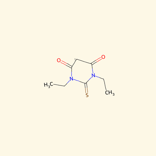 CCN1C(=O)[C]C(=O)N(CC)C1=S